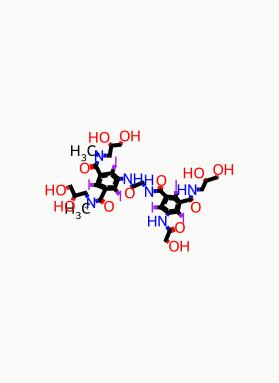 CN(CC(O)CO)C(=O)c1c(I)c(NC(=O)CNC(=O)c2c(I)c(NC(=O)CO)c(I)c(C(=O)NCC(O)CO)c2I)c(I)c(C(=O)N(C)CC(O)CO)c1I